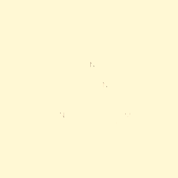 CN(C)c1ccc2c(c1)n(CC1(C)CO1)c(=O)n2C